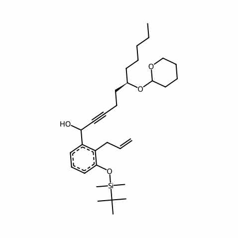 C=CCc1c(O[Si](C)(C)C(C)(C)C)cccc1C(O)C#CCC[C@@H](CCCCC)OC1CCCCO1